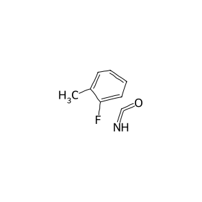 Cc1ccccc1F.N=C=O